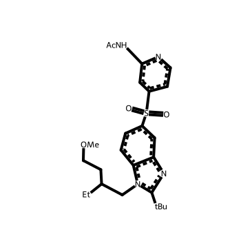 CCC(CCOC)Cn1c(C(C)(C)C)nc2cc(S(=O)(=O)c3ccnc(NC(C)=O)c3)ccc21